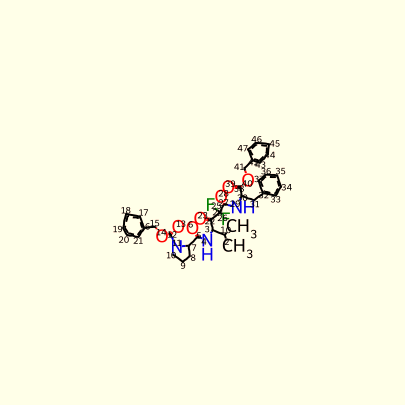 CC(C)C(NC(=O)C1CCCN1C(=O)OCc1ccccc1)C(=O)C(F)(F)C(=O)NC(Cc1ccccc1)C(=O)OCc1ccccc1